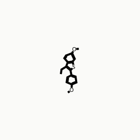 CCc1c(-c2ccc(OC)cc2)sc2cc(OC)ccc12